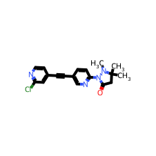 CN1N(c2ccc(C#Cc3ccnc(Cl)c3)cn2)C(=O)CC1(C)C